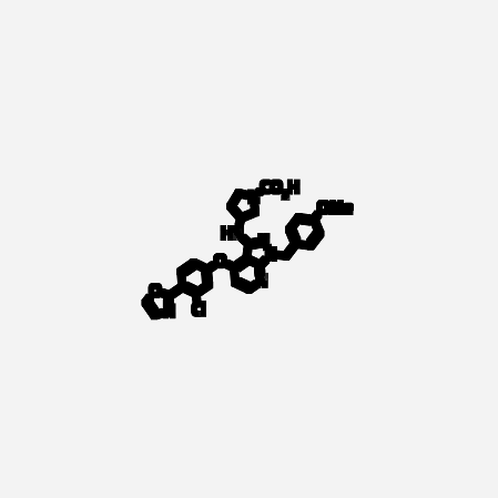 COc1ccc(Cn2nc(NC3CCN(C(=O)O)C3)c3c(Oc4ccc(-c5ncco5)c(Cl)c4)ccnc32)cc1